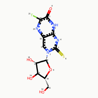 O=c1[nH]c2nc(=S)n([C@@H]3O[C@H](CO)C(O)[C@@H]3O)cc2nc1F